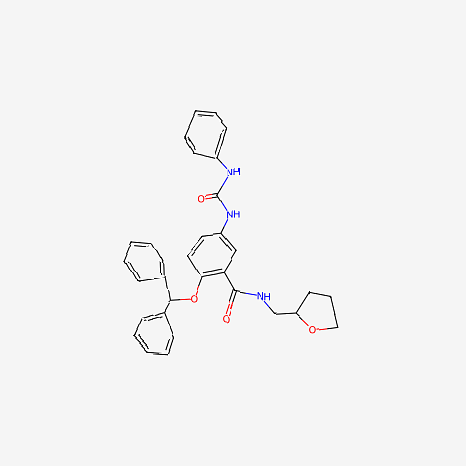 O=C(Nc1ccccc1)Nc1ccc(OC(c2ccccc2)c2ccccc2)c(C(=O)NCC2CCCO2)c1